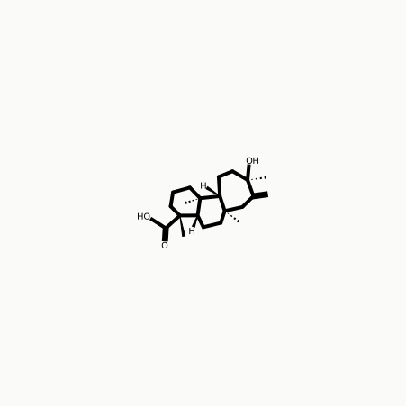 C=C1C[C@@]2(C)CC[C@H]3[C@@](C)(CCC[C@@]3(C)C(=O)O)[C@@H]2CC[C@@]1(C)O